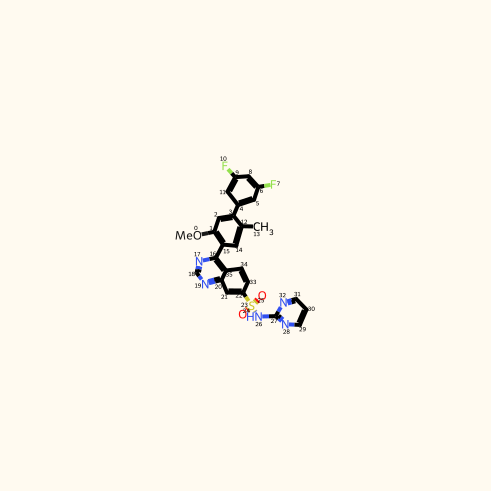 COc1cc(-c2cc(F)cc(F)c2)c(C)cc1-c1ncnc2cc(S(=O)(=O)Nc3ncccn3)ccc12